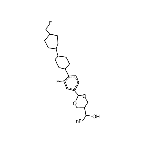 CCCC(O)C1COC(c2ccc(C3CCC(C4CCC(CF)CC4)CC3)c(F)c2)OC1